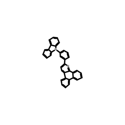 c1cc(-c2ccc3c4ccccc4c4ccccc4c3n2)cc(-n2c3ccccc3c3ccccc32)c1